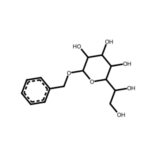 OCC(O)C1OC(OCc2ccccc2)C(O)C(O)C1O